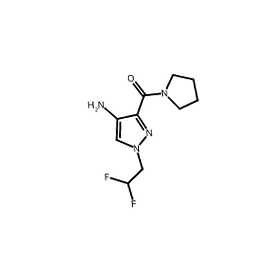 Nc1cn(CC(F)F)nc1C(=O)N1CCCC1